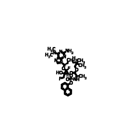 CC[C@@H](O[C@]1(F)[C@H](O[P@@](=O)(N[C@H](C)C(=O)OCC(C)(C)C)Oc2cccc3ccccc23)[C@]1(O)CF)n1cnc2c(N(C)C)nc(N)nc21